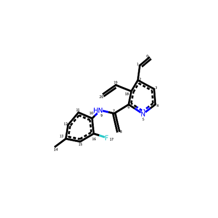 C=Cc1ccnc(C(=C)Nc2ccc(C)cc2F)c1C=C